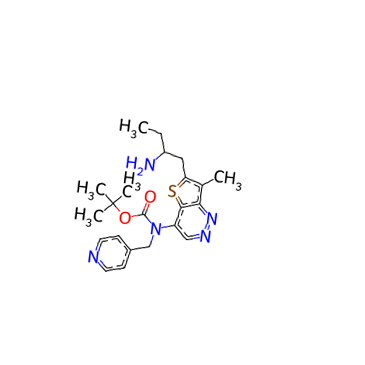 CCC(N)Cc1sc2c(N(Cc3ccncc3)C(=O)OC(C)(C)C)cnnc2c1C